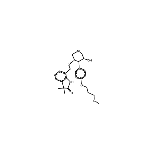 COCCCOc1ccc([C@H]2[C@H](O)CNC[C@@H]2OCc2cccc3c2NC(=O)C3(C)C)cc1